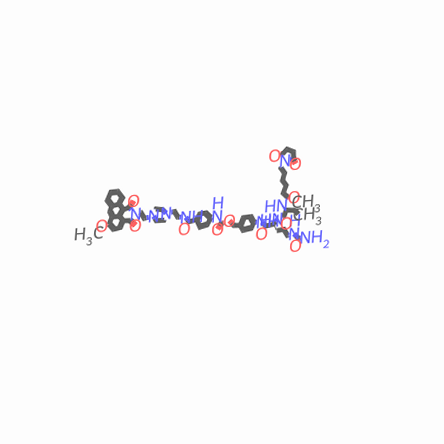 COc1ccc2c3c(c4ccccc4cc13)C(=O)N(CCN1CCN(CCNC(=O)c3ccc(NC(=O)OCc4ccc(NC(=O)[C@@H](CCCNC(N)=O)NC(=O)[C@H](NC(=O)CCCCCN5C(=O)CCC5=O)C(C)C)cc4)cc3)CC1)C2=O